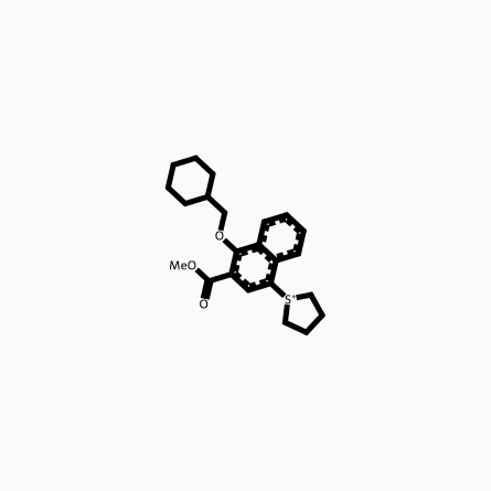 COC(=O)c1cc([S+]2CCCC2)c2ccccc2c1OCC1CCCCC1